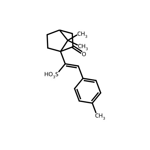 Cc1ccc(C=C(C23CCC(CC2=O)C3(C)C)S(=O)(=O)O)cc1